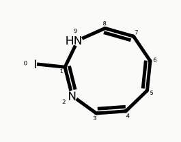 Ic1ncccccc[nH]1